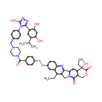 CCc1c2c(nc3ccc(OSc4ccc(C(=O)N5CCN(Cc6ccc(-n7c(O)nnc7-c7cc(C(C)C)c(O)cc7O)cc6)CC5)cc4)cc13)-c1cc3c(c(=O)n1C2)COC(=O)C3(O)CC